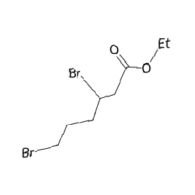 CCOC(=O)CC(Br)CCCBr